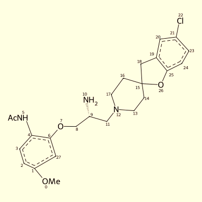 COc1ccc(NC(C)=O)c(OC[C@H](N)CN2CCC3(CC2)Cc2cc(Cl)ccc2O3)c1